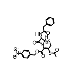 CC(=O)SC1=C(C(=O)OCc2ccc([N+](=O)[O-])cc2)N2C(=O)C(NC(=O)Cc3ccccc3)[C@@H]2SC1